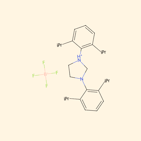 CC(C)c1cccc(C(C)C)c1N1CC[NH+](c2c(C(C)C)cccc2C(C)C)C1.F[B-](F)(F)F